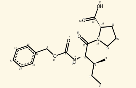 CC[C@H](C)[C@H](NC(=O)OCc1ccccc1)C(=O)N1CCC[C@H]1C(=O)O